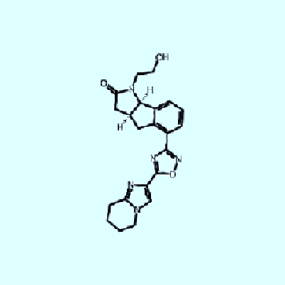 O=C1C[C@@H]2Cc3c(-c4noc(-c5cn6c(n5)CCCC6)n4)cccc3[C@@H]2N1CCO